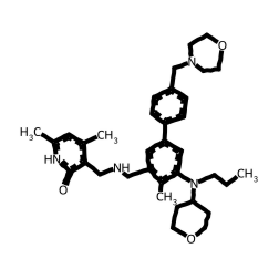 CCCN(c1cc(-c2ccc(CN3CCOCC3)cc2)cc(CNCc2c(C)cc(C)[nH]c2=O)c1C)C1CCOCC1